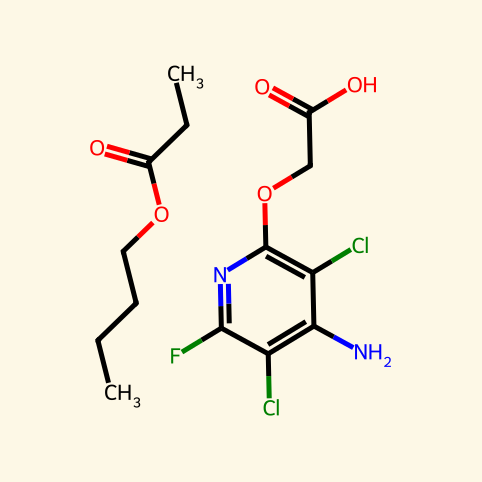 CCCCOC(=O)CC.Nc1c(Cl)c(F)nc(OCC(=O)O)c1Cl